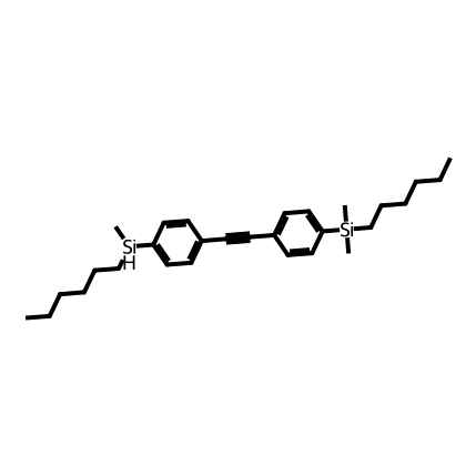 CCCCCC[SiH](C)c1ccc(C#Cc2ccc([Si](C)(C)CCCCCC)cc2)cc1